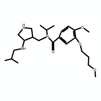 COCCCOc1cc(C(=O)N(CC2CNCC2NCC(C)C)C(C)C)ccc1OC